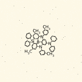 Cc1cccc(N2c3cc(N(c4ccccc4)c4ccccc4)cc4c3B3c5c2cc(C)cc5[Si](c2ccccc2)(c2ccccc2)c2cc(C)cc(c23)N4c2cccc(C)c2)c1